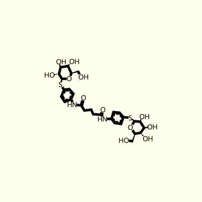 O=C(CCCC(=O)Nc1ccc(S[C@@H]2O[C@H](CO)[C@@H](O)[C@H](O)[C@H]2O)cc1)Nc1ccc(S[C@@H]2O[C@H](CO)[C@@H](O)[C@H](O)[C@H]2O)cc1